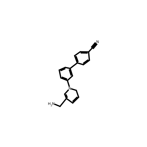 N#Cc1ccc(-c2cccc(N3C=C(CN)C=CC3)c2)cc1